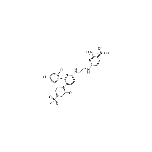 CS(=O)(=O)N1CCN(c2ccc(NCCNC3C=C/C(=[N+](/[O-])O)C(N)=N3)nc2-c2ccc(Cl)cc2Cl)C(=O)C1